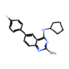 CC(=O)Nc1nc(NC2CCCC2)c2cc(-c3ccc(F)cc3)ccc2n1